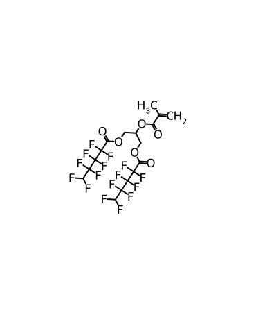 C=C(C)C(=O)OC(COC(=O)C(F)(F)C(F)(F)C(F)(F)C(F)F)COC(=O)C(F)(F)C(F)(F)C(F)(F)C(F)F